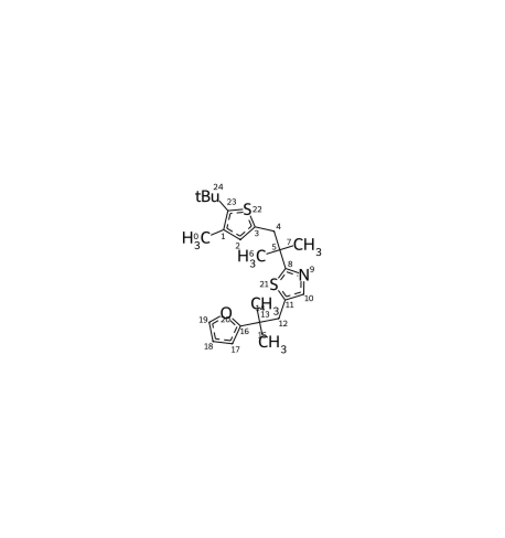 Cc1cc(CC(C)(C)c2ncc(CC(C)(C)c3ccco3)s2)sc1C(C)(C)C